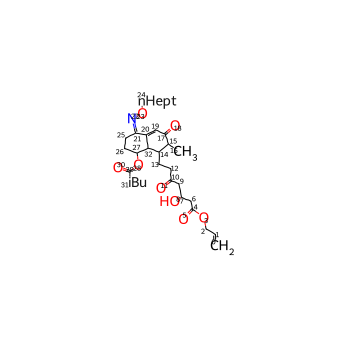 C=CCOC(=O)CC(O)CC(=O)CCC1C(C)C(=O)C=C2/C(=N\OCCCCCCC)CCC(OC(=O)C(C)CC)C21